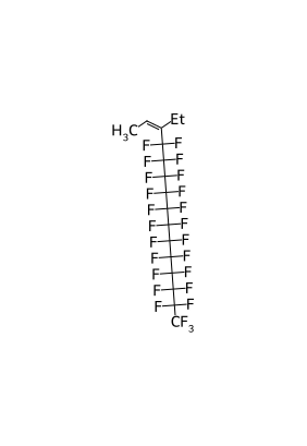 CC=C(CC)C(F)(F)C(F)(F)C(F)(F)C(F)(F)C(F)(F)C(F)(F)C(F)(F)C(F)(F)C(F)(F)C(F)(F)C(F)(F)C(F)(F)F